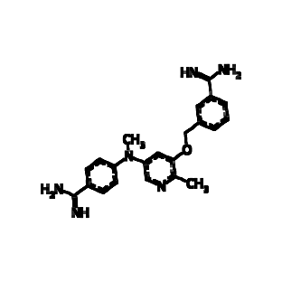 Cc1ncc(N(C)c2ccc(C(=N)N)cc2)cc1OCc1cccc(C(=N)N)c1